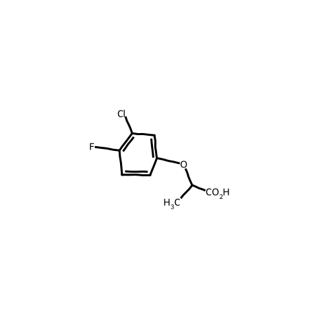 CC(Oc1ccc(F)c(Cl)c1)C(=O)O